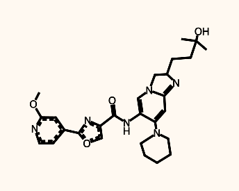 COc1cc(-c2nc(C(=O)NC3=CN4CC(CCC(C)(C)O)N=C4C=C3N3CCCCC3)co2)ccn1